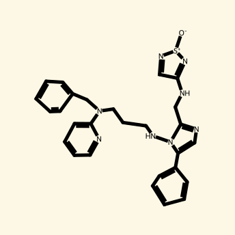 [O-][s+]1ncc(NCc2ncc(-c3ccccc3)n2NCCCN(Cc2ccccc2)c2ccccn2)n1